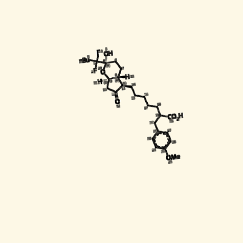 CCCCC(F)(F)[C@@]1(O)CC[C@H]2[C@@H](CC(=O)[C@@H]2CCCCCC(Cc2ccc(OC)cc2)C(=O)O)O1